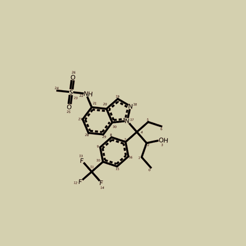 CCC(O)C(CC)(c1ccc(C(F)(F)F)cc1)n1ncc2c(NS(C)(=O)=O)cccc21